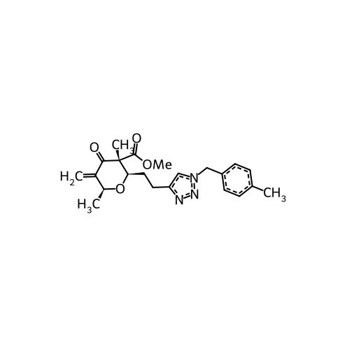 C=C1C(=O)[C@](C)(C(=O)OC)[C@@H](CCc2cn(Cc3ccc(C)cc3)nn2)O[C@H]1C